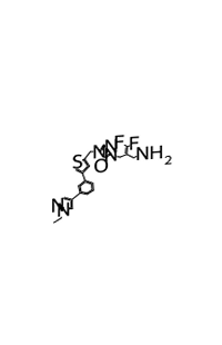 CCn1cc(-c2cccc(-c3csc(Cn4cnn(CC(CN)=C(F)F)c4=O)c3)c2)cn1